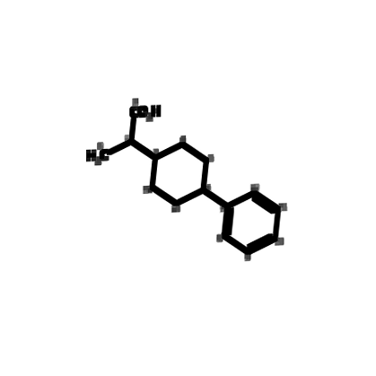 CC(C(=O)O)C1CCC(c2ccccc2)CC1